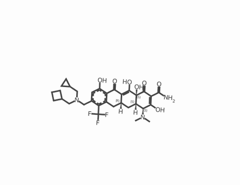 CN(C)[C@@H]1C(O)=C(C(N)=O)C(=O)[C@@]2(O)C(O)=C3C(=O)c4c(O)cc(CN(CC5CCC5)CC5CC5)c(C(F)(F)F)c4C[C@H]3C[C@@H]12